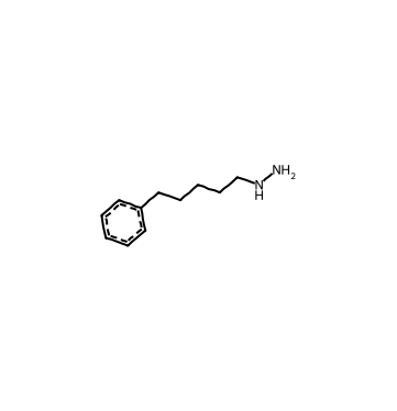 NNCCCCCc1ccccc1